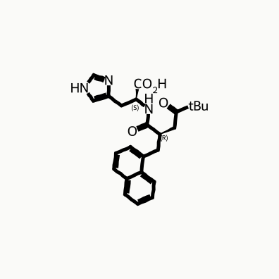 CC(C)(C)C(=O)C[C@@H](Cc1cccc2ccccc12)C(=O)N[C@@H](Cc1c[nH]cn1)C(=O)O